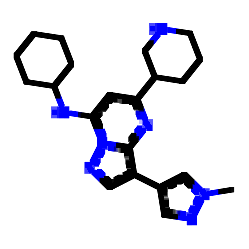 Cn1cc(-c2cnn3c(NC4CCCCC4)cc(C4CCCNC4)nc23)cn1